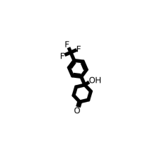 O=C1CCC(O)(c2ccc(C(F)(F)F)cc2)CC1